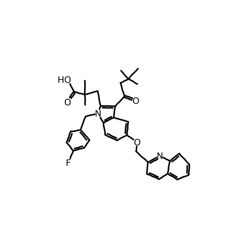 CC(C)(C)CC(=O)c1c(CC(C)(C)C(=O)O)n(Cc2ccc(F)cc2)c2ccc(OCc3ccc4ccccc4n3)cc12